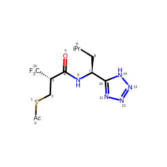 CC(=O)SC[C@@H](C(=O)N[C@@H](CC(C)C)c1nnn[nH]1)C(F)(F)F